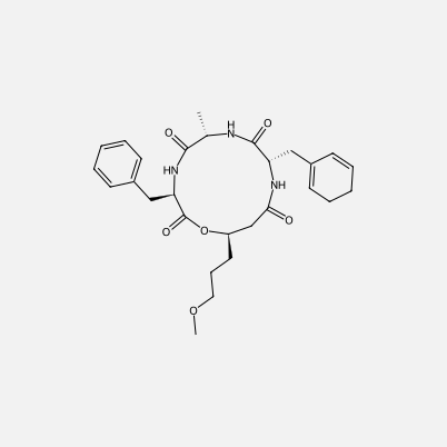 COCCC[C@@H]1CC(=O)N[C@@H](CC2=CCCC=C2)C(=O)N[C@@H](C)C(=O)N[C@H](Cc2ccccc2)C(=O)O1